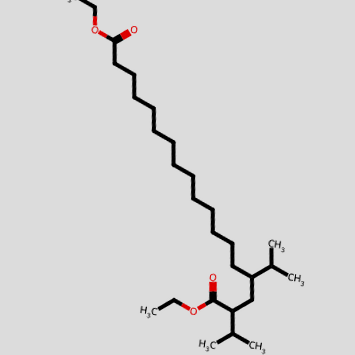 CCOC(=O)CCCCCCCCCCCCCC(CC(C(=O)OCC)C(C)C)C(C)C